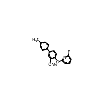 COc1cc(-c2ccc(C)cc2)ccc1Oc1cccc(F)n1